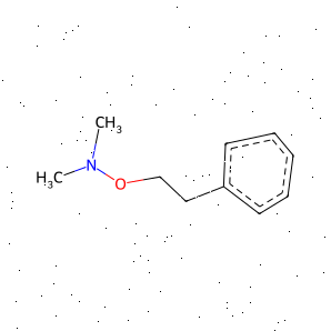 CN(C)OCCc1ccccc1